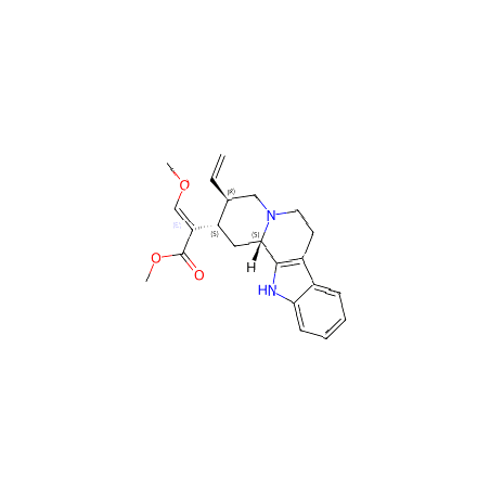 C=C[C@H]1CN2CCc3c([nH]c4ccccc34)[C@@H]2C[C@@H]1/C(=C\OC)C(=O)OC